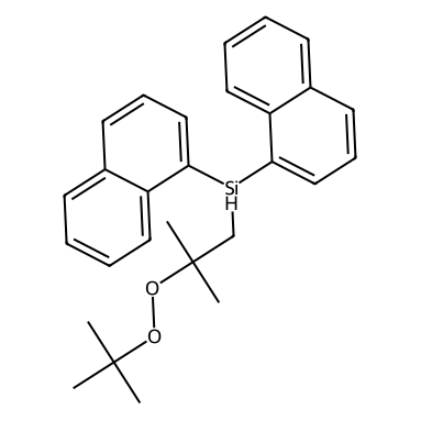 CC(C)(C)OOC(C)(C)C[SiH](c1cccc2ccccc12)c1cccc2ccccc12